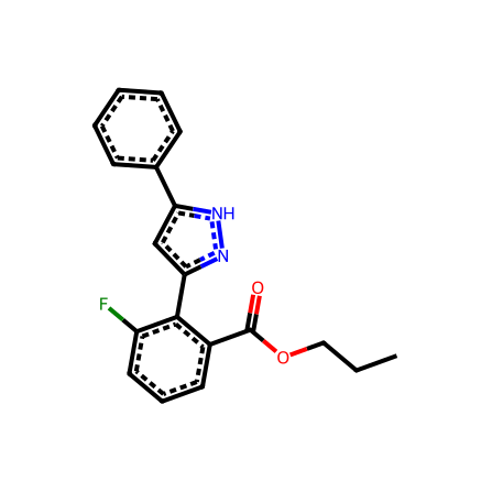 CCCOC(=O)c1cccc(F)c1-c1cc(-c2ccccc2)[nH]n1